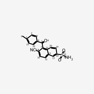 Cc1ccc(C(=O)c2c(C#N)ccc3cc(S(N)(=O)=O)ccc23)cc1